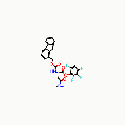 CN(C)C(=O)C[C@H](NC(=O)OCc1cccc2c1Cc1ccccc1-2)C(=O)Oc1c(F)c(F)c(F)c(F)c1F